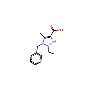 CCN1NC(C(=O)O)=C(C)N1Cc1ccccc1